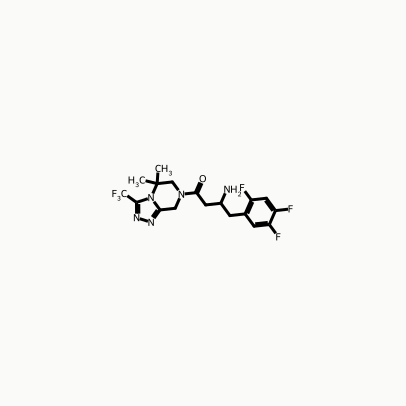 CC1(C)CN(C(=O)CC(N)Cc2cc(F)c(F)cc2F)Cc2nnc(C(F)(F)F)n21